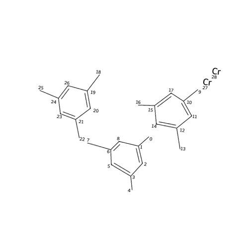 Cc1cc(C)cc(C)c1.Cc1cc(C)cc(C)c1.Cc1cc(C)cc(C)c1.[Cr].[Cr]